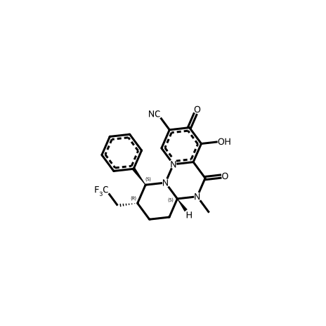 CN1C(=O)c2c(O)c(=O)c(C#N)cn2N2[C@H](c3ccccc3)[C@@H](CC(F)(F)F)CC[C@@H]12